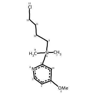 COc1ccnc([Si](C)(C)CCCCCl)c1